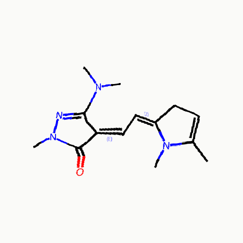 CC1=CC/C(=C/C=C2/C(=O)N(C)N=C2N(C)C)N1C